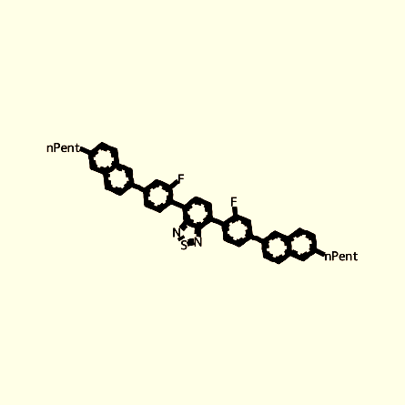 CCCCCc1ccc2cc(-c3ccc(-c4ccc(-c5ccc(-c6ccc7cc(CCCCC)ccc7c6)cc5F)c5nsnc45)c(F)c3)ccc2c1